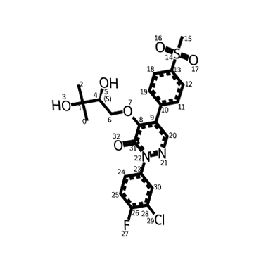 CC(C)(O)[C@@H](O)COc1c(-c2ccc(S(C)(=O)=O)cc2)cnn(-c2ccc(F)c(Cl)c2)c1=O